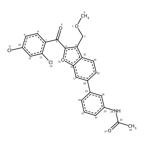 COCc1c(C(=O)c2ccc(Cl)cc2Cl)oc2cc(-c3cccc(NC(C)=O)c3)ccc12